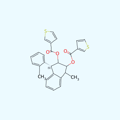 Cc1ccccc1[C@H]1c2ccccc2C(C)C(OC(=O)c2ccsc2)C1OC(=O)c1ccsc1